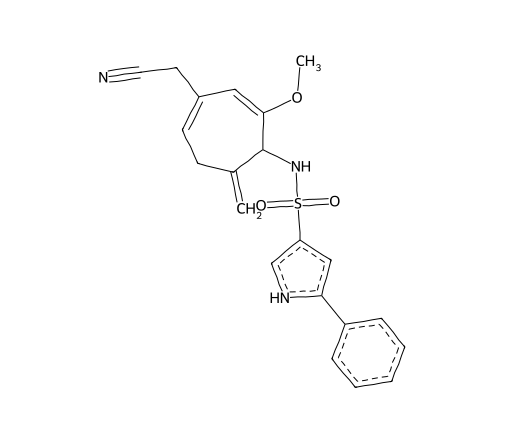 C=C1CC=C(CC#N)C=C(OC)C1NS(=O)(=O)c1c[nH]c(-c2ccccc2)c1